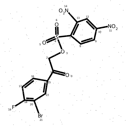 O=C(COS(=O)(=O)c1ccc([N+](=O)[O-])cc1[N+](=O)[O-])c1ccc(F)c(Br)c1